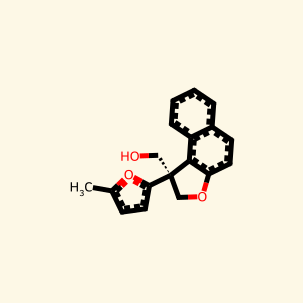 Cc1ccc([C@]2(CO)COc3ccc4ccccc4c32)o1